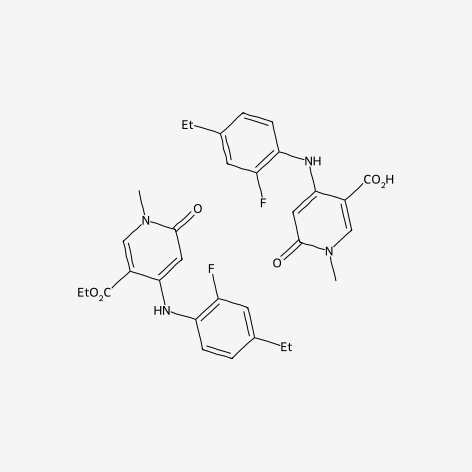 CCOC(=O)c1cn(C)c(=O)cc1Nc1ccc(CC)cc1F.CCc1ccc(Nc2cc(=O)n(C)cc2C(=O)O)c(F)c1